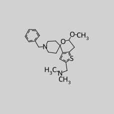 COC1Cc2sc(CN(C)C)cc2C2(CCN(Cc3ccccc3)CC2)O1